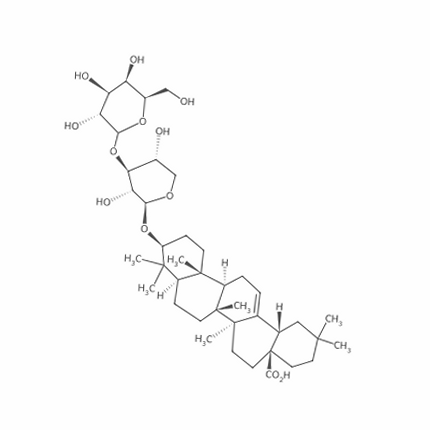 CC1(C)CC[C@]2(C(=O)O)CC[C@]3(C)C(=CC[C@@H]4[C@@]5(C)CC[C@H](O[C@@H]6OC[C@@H](O)[C@H](OC7O[C@H](CO)[C@H](O)[C@H](O)[C@H]7O)[C@H]6O)C(C)(C)[C@@H]5CC[C@]43C)[C@@H]2C1